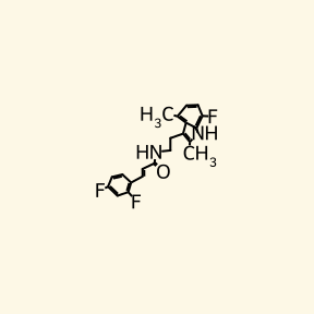 Cc1[nH]c2c(F)ccc(C)c2c1CCNC(=O)/C=C/c1ccc(F)cc1F